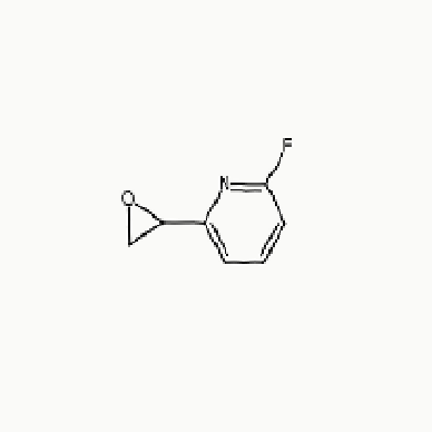 Fc1cccc(C2CO2)n1